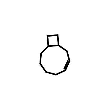 C1=C\C[C]2CCC2CCCC/1